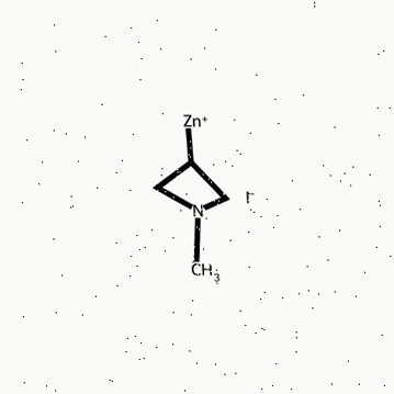 CN1C[CH]([Zn+])C1.[I-]